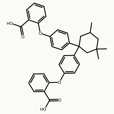 CC1CC(C)(C)CC(c2ccc(Oc3ccccc3C(=O)O)cc2)(c2ccc(Oc3ccccc3C(=O)O)cc2)C1